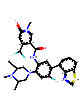 CC1CN(c2cc(F)c(-c3cccc4scnc34)cc2NC(=O)c2cn(C)c(=O)cc2C(F)F)CC(C)N1C